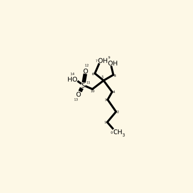 CCCCCC(CO)(CO)CS(=O)(=O)O